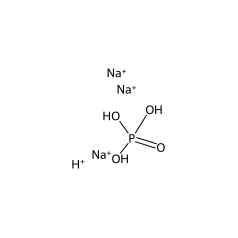 O=P(O)(O)O.[H+].[Na+].[Na+].[Na+]